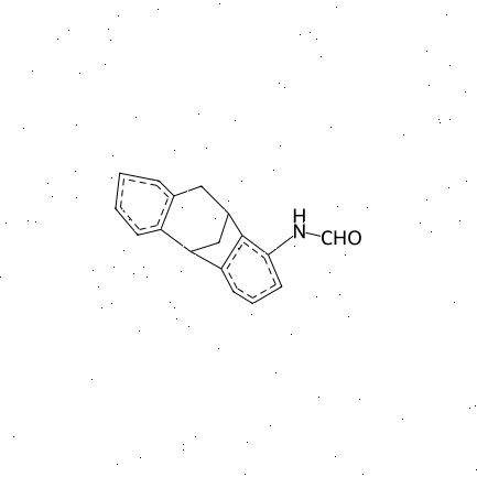 O=CNc1cccc2c1C1Cc3ccccc3C2C1